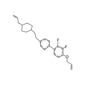 C=CCOc1ccc(-c2ccc(CCC3CCC(CC=C)CC3)cc2)c(F)c1F